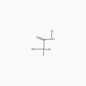 CCCCC(C)(CCC)C(=O)NCC